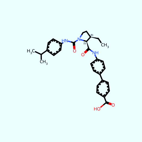 CC[C@@H]1CCN(C(=O)Nc2ccc(C(C)C)cc2)[C@@H]1C(=O)Nc1ccc(-c2ccc(C(=O)O)cc2)cc1